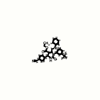 CCOC(=O)C1=C(CNc2ccccc2)N(c2cccc(C(F)(F)F)c2)C(=O)NC1c1ccc(C#N)cc1